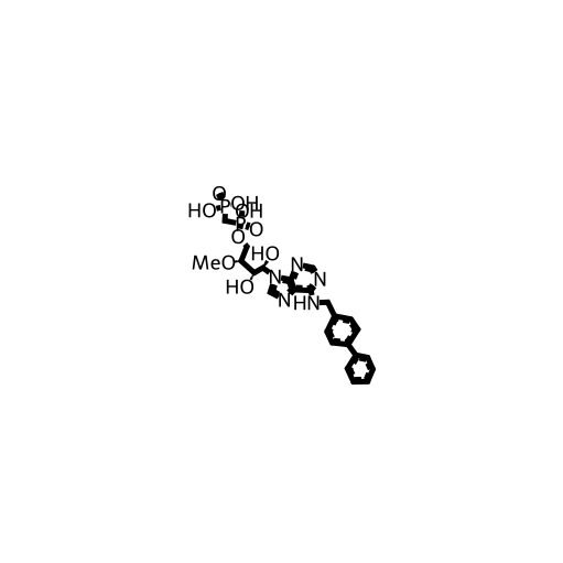 CO[C@H](COP(=O)(O)CP(=O)(O)O)[C@@H](O)[C@@H](O)n1cnc2c(NCc3ccc(-c4ccccc4)cc3)ncnc21